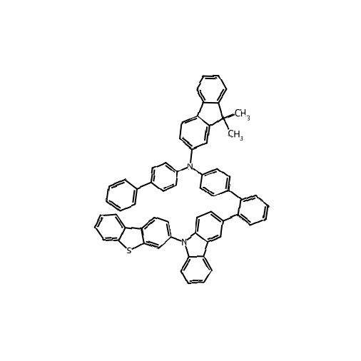 CC1(C)c2ccccc2-c2ccc(N(c3ccc(-c4ccccc4)cc3)c3ccc(-c4ccccc4-c4ccc5c(c4)c4ccccc4n5-c4ccc5c(c4)sc4ccccc45)cc3)cc21